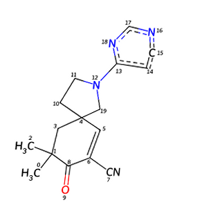 CC1(C)CC2(C=C(C#N)C1=O)CCN(c1ccncn1)C2